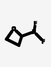 FN(F)C1CCO1